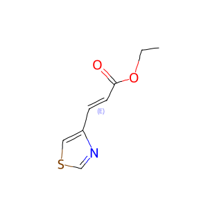 CCOC(=O)/C=C/c1cscn1